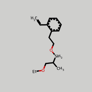 C=Cc1ccccc1CCO[SiH2]C(C)COCC